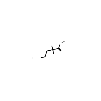 CC(C)(C)C(CCC(=O)O)(C(=O)OO)C(C)(C)C